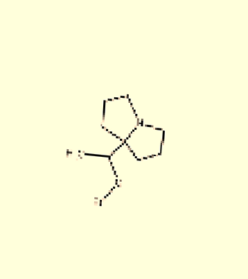 CCOC(C)C12CCCN1CCC2